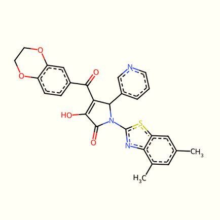 Cc1cc(C)c2nc(N3C(=O)C(O)=C(C(=O)c4ccc5c(c4)OCCO5)C3c3cccnc3)sc2c1